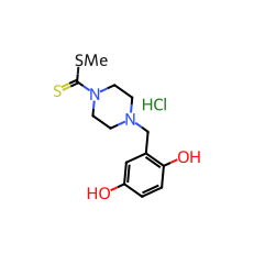 CSC(=S)N1CCN(Cc2cc(O)ccc2O)CC1.Cl